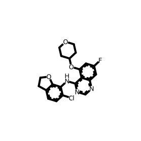 Fc1cc(OC2CCOCC2)c2c(Nc3c(Cl)ccc4c3OCC4)ncnc2c1